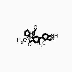 Cc1c(-c2ccc(C(=O)N(C)C3(NCCC=O)CCCC3)cc2)ccc2[nH]ncc12